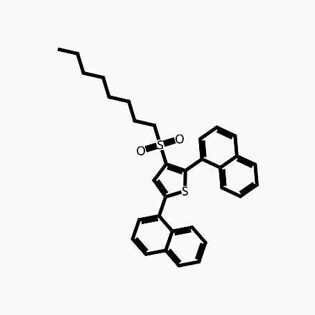 CCCCCCCCS(=O)(=O)c1cc(-c2cccc3ccccc23)sc1-c1cccc2ccccc12